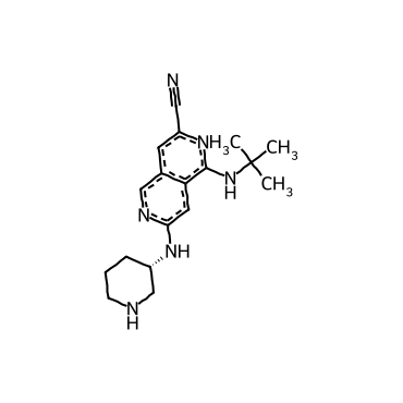 CC(C)(C)Nc1nc(C#N)cc2cnc(N[C@H]3CCCNC3)cc12